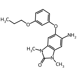 CCCOc1cccc(Oc2cc3c(cc2N)n(C)c(=O)n3C)c1